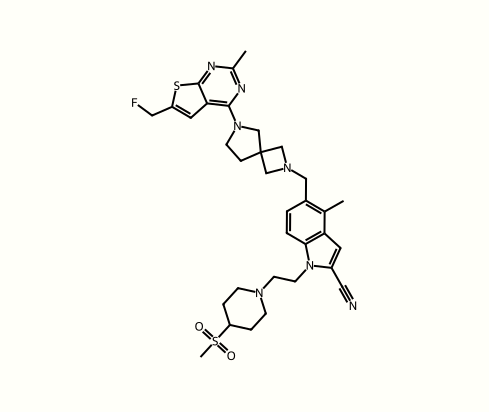 Cc1nc(N2CCC3(CN(Cc4ccc5c(cc(C#N)n5CCN5CCC(S(C)(=O)=O)CC5)c4C)C3)C2)c2cc(CF)sc2n1